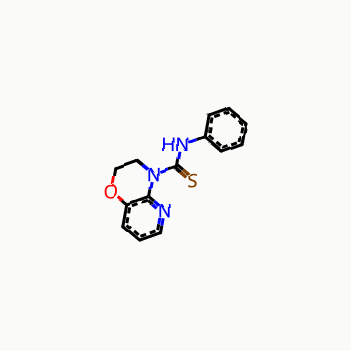 S=C(Nc1ccccc1)N1CCOc2cccnc21